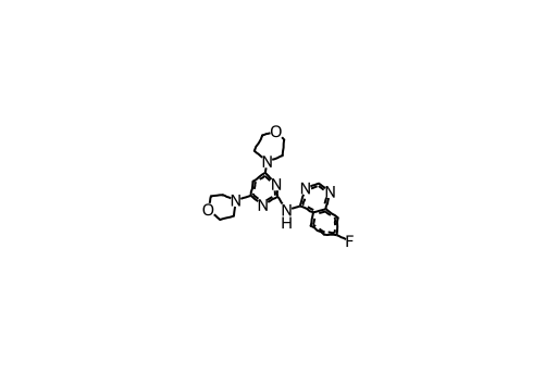 Fc1ccc2c(Nc3nc(N4CCOCC4)cc(N4CCOCC4)n3)ncnc2c1